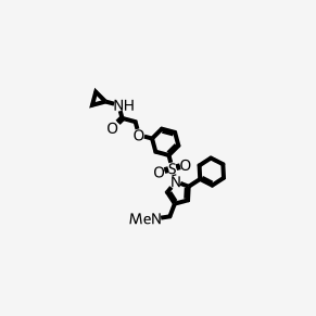 CNCc1cc(C2=CCCCC2)n(S(=O)(=O)C2=CC=CC(OCC(=O)NC3CC3)C2)c1